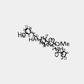 COC(=O)[C@H](CNC(=O)c1cccs1)NC(=O)c1c(C)nc([AsH]CCCc2cccc(O)c2)nc1C